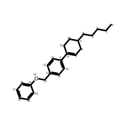 CCCCCC1CC=C(c2ccc(COc3ccccc3)cc2)CC1